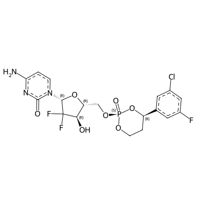 Nc1ccn([C@@H]2O[C@H](CO[P@]3(=O)OCC[C@H](c4cc(F)cc(Cl)c4)O3)[C@@H](O)C2(F)F)c(=O)n1